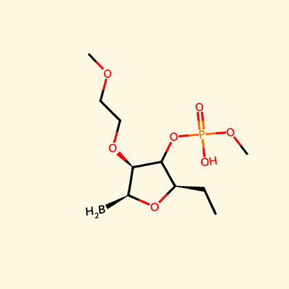 B[C@@H]1O[C@H](CC)C(OP(=O)(O)OC)[C@@H]1OCCOC